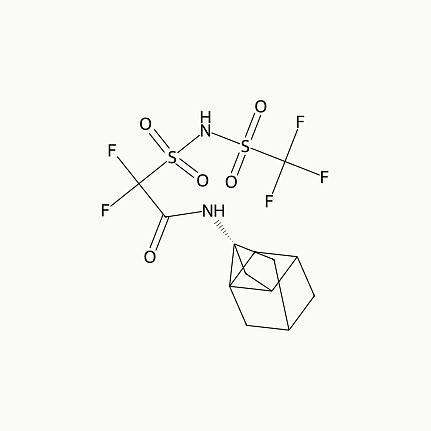 O=C(N[C@@]12CC3CC4CC1(C3)C4C2)C(F)(F)S(=O)(=O)NS(=O)(=O)C(F)(F)F